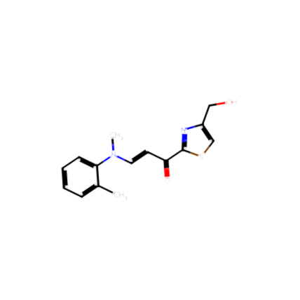 Cc1ccccc1N(C)C=CC(=O)c1nc(CO)cs1